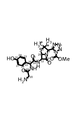 COC(=O)n1nnnc1C1N2C(=O)C(NC(=O)C(NC(=O)CN)c3ccc(O)cc3)C2SC1(C)C